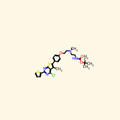 Cc1c(-c2ccc(OCCN(C)CCNC(=O)OC(C)(C)C)cc2)sc2nc(-c3cccs3)nc(Cl)c12